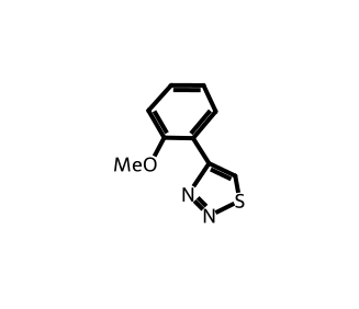 COc1ccccc1-c1csnn1